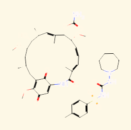 COC1=C2C[C@@H](C)C[C@H](OC)[C@H](O)[C@@H](C)/C=C(\C)[C@H](OC(N)=O)[C@@H](OC)/C=C\C=C(/C)C(=O)NC(=CC1=O)C2=O.Cc1ccc(S(=O)(=O)NC(=O)NN2CCCCCC2)cc1